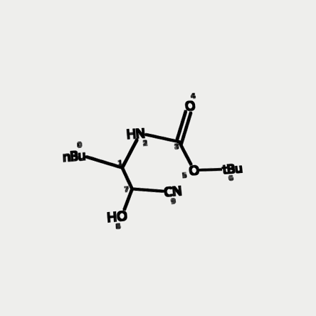 CCCCC(NC(=O)OC(C)(C)C)C(O)C#N